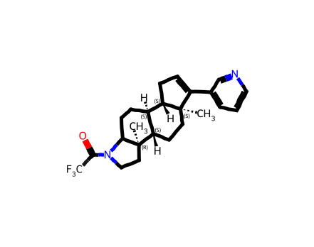 C[C@]12CCN(C(=O)C(F)(F)F)C1CC[C@@H]1[C@@H]2CC[C@]2(C)C(c3cccnc3)=CC[C@@H]12